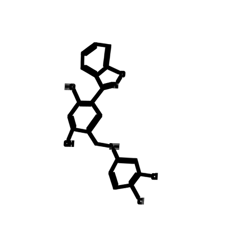 Oc1cc(O)c(-c2noc3ccccc23)cc1CNc1ccc(Cl)c(Cl)c1